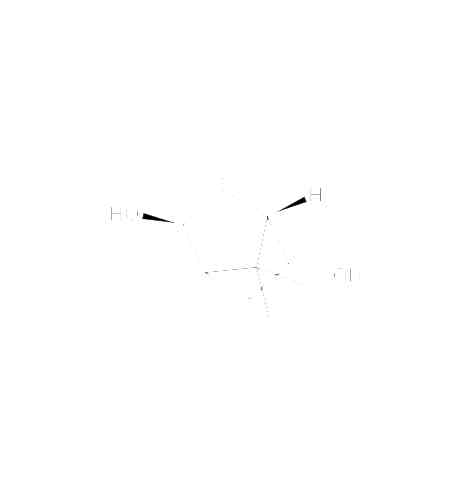 CC1(C)[C@@H]2C[C@H](O)[C@]1(C)C[C@H]2O